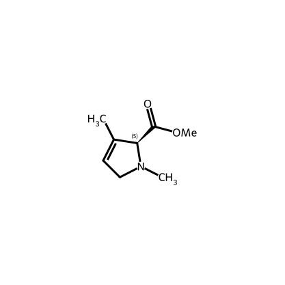 COC(=O)[C@@H]1C(C)=CCN1C